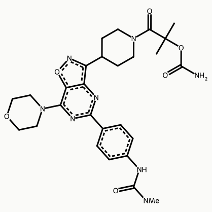 CNC(=O)Nc1ccc(-c2nc(N3CCOCC3)c3onc(C4CCN(C(=O)C(C)(C)OC(N)=O)CC4)c3n2)cc1